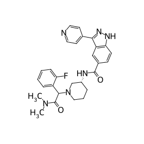 CN(C)C(=O)C(c1ccccc1F)N1CCC[C@@H](NC(=O)c2ccc3[nH]nc(-c4ccncc4)c3c2)C1